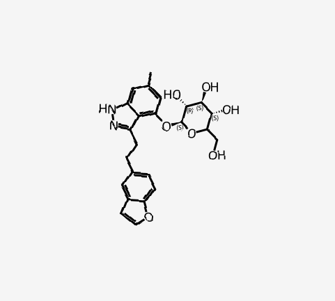 Cc1cc(O[C@@H]2OC(CO)[C@@H](O)[C@H](O)[C@H]2O)c2c(CCc3ccc4occc4c3)n[nH]c2c1